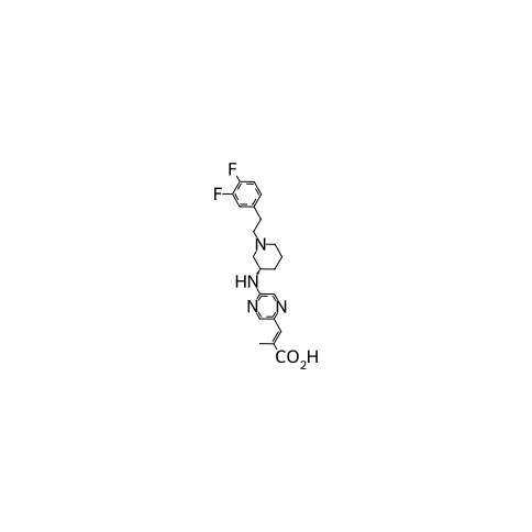 CC(=Cc1cnc(N[C@@H]2CCCN(CCc3ccc(F)c(F)c3)C2)cn1)C(=O)O